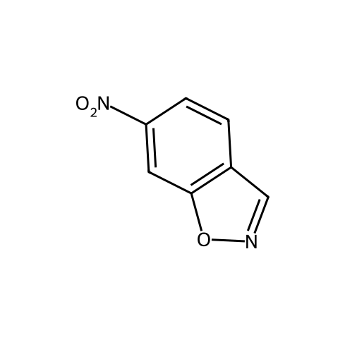 O=[N+]([O-])c1ccc2cnoc2c1